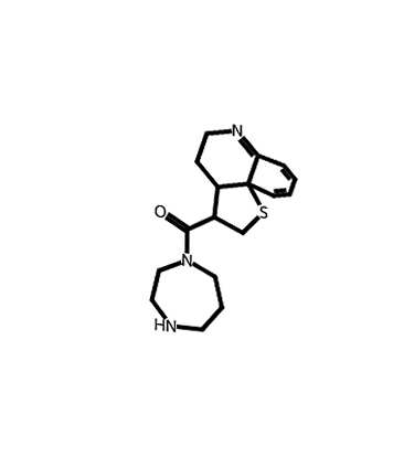 O=C(C1CSC23C=CC=CC2=NCCC13)N1CCCNCC1